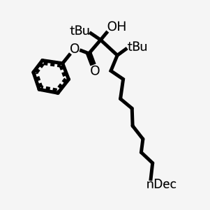 CCCCCCCCCCCCCCCCCCC(C(C)(C)C)C(O)(C(=O)Oc1ccccc1)C(C)(C)C